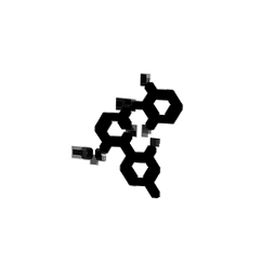 Cc1ccc(-c2nc(Nc3c(F)cccc3F)ccc2C(=O)O)c(F)c1